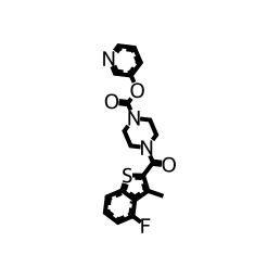 Cc1c(C(=O)N2CCN(C(=O)Oc3cccnc3)CC2)sc2cccc(F)c12